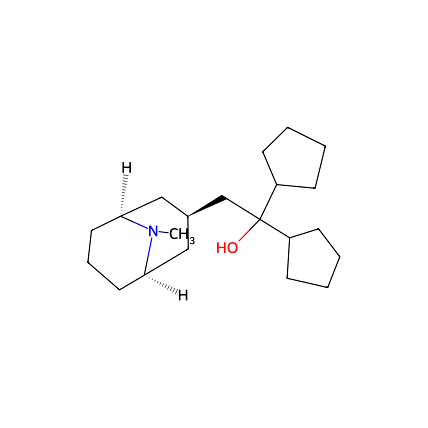 CN1[C@@H]2CCC[C@H]1C[C@@H](CC(O)(C1CCCC1)C1CCCC1)C2